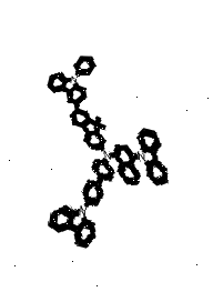 CC1(C)c2cc(-c3ccc4c(c3)c3ccccc3n4-c3ccccc3)ccc2-c2ccc(N(c3ccc(-c4ccc(-n5c6ccccc6c6ccccc65)cc4)cc3)c3ccc(-n4c5ccccc5c5ccccc54)c4ccccc34)cc21